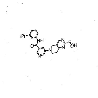 CC(C)c1cccc(NC(=O)c2cncc(N3CCc4nc(SO)ncc4C3)c2)c1